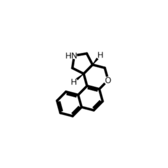 c1ccc2c3c(ccc2c1)OC[C@H]1CNC[C@@H]31